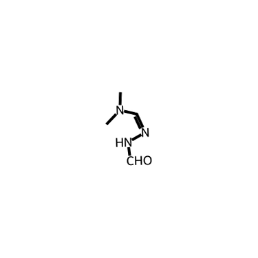 CN(C)/C=N\NC=O